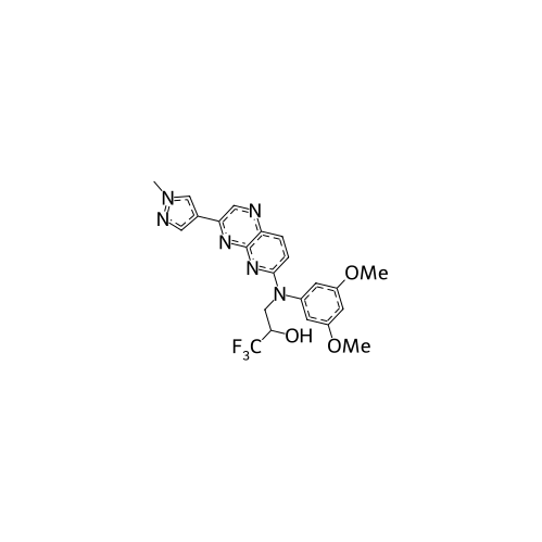 COc1cc(OC)cc(N(CC(O)C(F)(F)F)c2ccc3ncc(-c4cnn(C)c4)nc3n2)c1